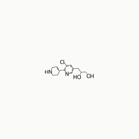 OCC(O)Cc1cnc(C2=CCNCC2)c(Cl)c1